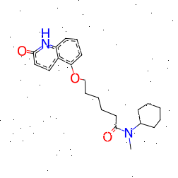 CN(C(=O)CCCCCOc1cccc2[nH]c(=O)ccc12)C1CCCCC1